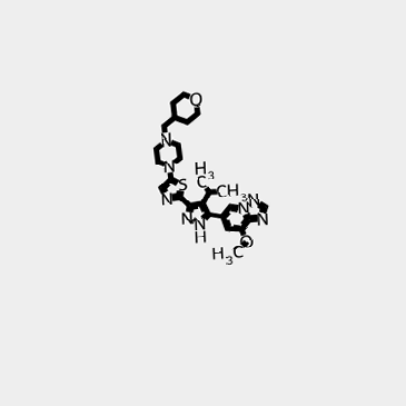 COc1cc(-c2[nH]nc(-c3ncc(N4CCN(CC5CCOCC5)CC4)s3)c2C(C)C)cn2ncnc12